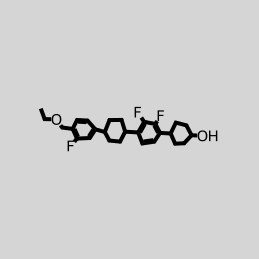 CCOCc1ccc(C2CCC(c3ccc(C4CCC(O)CC4)c(F)c3F)CC2)cc1F